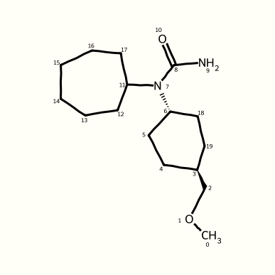 COC[C@H]1CC[C@H](N(C(N)=O)C2CCCCCC2)CC1